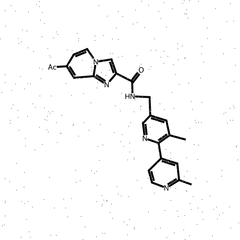 CC(=O)c1ccn2cc(C(=O)NCc3cnc(-c4ccnc(C)c4)c(C)c3)nc2c1